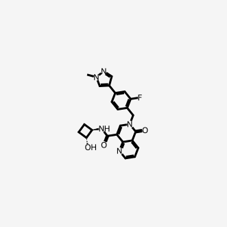 Cn1cc(-c2ccc(Cn3cc(C(=O)N[C@@H]4CC[C@H]4O)c4ncccc4c3=O)c(F)c2)cn1